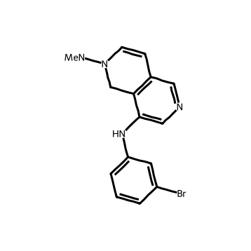 CNN1C=Cc2cncc(Nc3cccc(Br)c3)c2C1